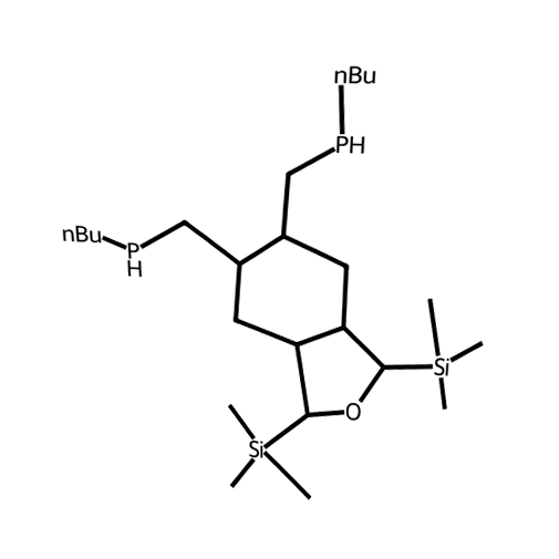 CCCCPCC1CC2C(CC1CPCCCC)C([Si](C)(C)C)OC2[Si](C)(C)C